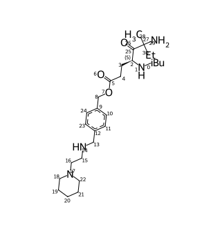 CCC(C)N[C@@H](CCC(=O)OCc1ccc(CNCCN2CCCCC2)cc1)C(=O)C(C)(N)CC